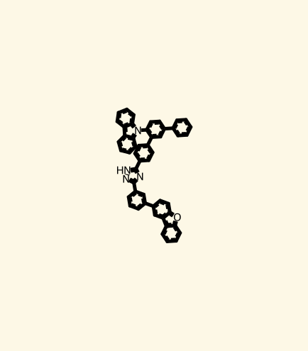 c1ccc(-c2ccc(-n3c4ccccc4c4ccccc43)c(-c3ccc(-c4nc(-c5cccc(-c6ccc7oc8ccccc8c7c6)c5)n[nH]4)cc3)c2)cc1